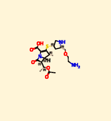 CC(=O)O[C@H](C)[C@H]1C(=O)N2C(C(=O)O)=C(S[C@@H]3CN[C@H](COCCN)C3)[C@H](C)[C@H]12